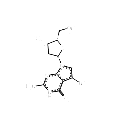 [C-]#[N+]c1cn([C@H]2C[C@H](O)[C@@H](CO)O2)c2nc(N)[nH]c(=O)c12